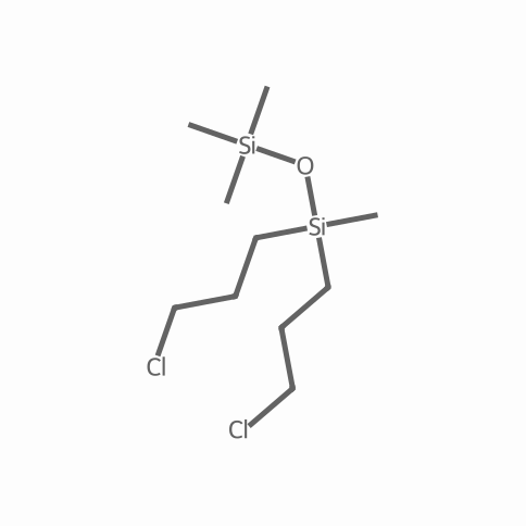 C[Si](C)(C)O[Si](C)(CCCCl)CCCCl